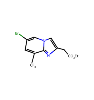 CCOC(=O)Cc1cn2cc(Br)cc(C(F)(F)F)c2n1